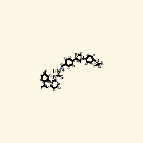 Cc1ccc(C(C)C)c(N2CCCS/C2=N\C(=S)N/N=C/c2ccc(-c3ncn(-c4ccc(OC(F)(F)F)cc4)n3)cc2)c1